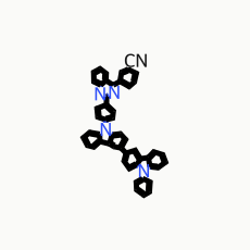 N#Cc1cccc(-c2nc(-c3ccc(-n4c5ccccc5c5cc(-c6ccc7c(c6)c6ccccc6n7-c6ccccc6)ccc54)cc3)nc3ccccc23)c1